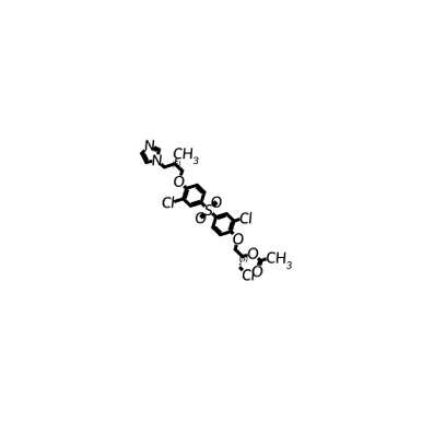 CC(=O)O[C@H](CCl)COc1ccc(S(=O)(=O)c2ccc(OC[C@@H](C)Cn3ccnc3)c(Cl)c2)cc1Cl